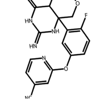 N#Cc1ccnc(Oc2ccc(F)c(C34COCCC3C(=O)NC(=N)N4)c2)c1